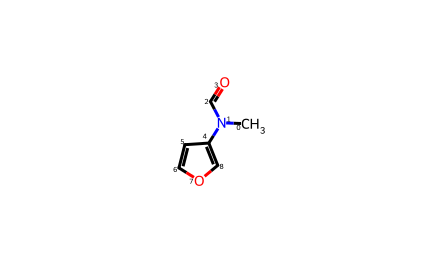 CN(C=O)c1ccoc1